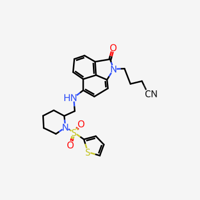 N#CCCCN1C(=O)c2cccc3c(NCC4CCCCN4S(=O)(=O)c4cccs4)ccc1c23